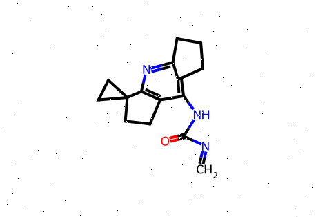 C=NC(=O)Nc1c2c(nc3c1CCC31CC1)CCC2